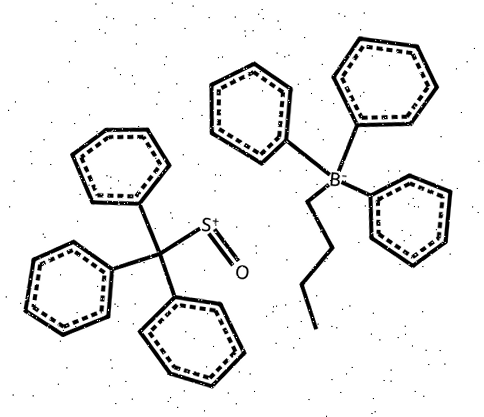 CCCC[B-](c1ccccc1)(c1ccccc1)c1ccccc1.O=[S+]C(c1ccccc1)(c1ccccc1)c1ccccc1